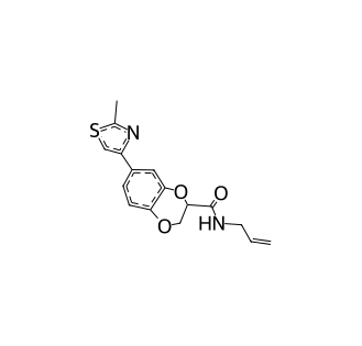 C=CCNC(=O)C1COc2ccc(-c3csc(C)n3)cc2O1